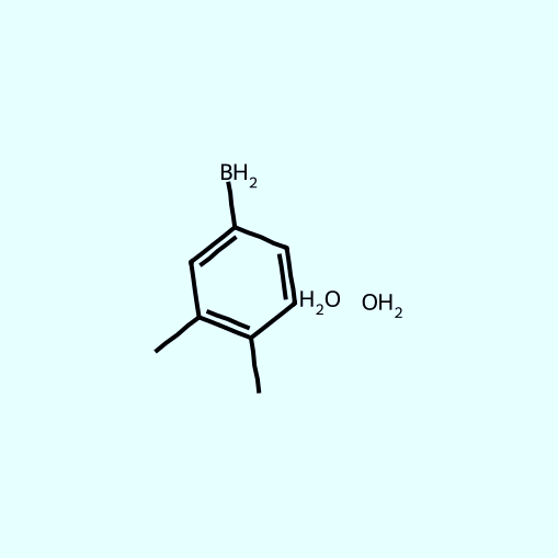 Bc1ccc(C)c(C)c1.O.O